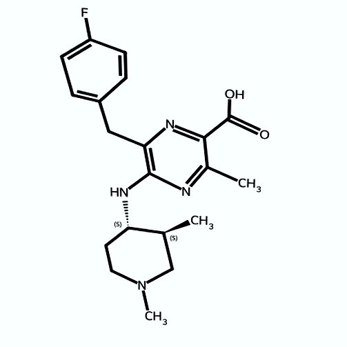 Cc1nc(N[C@H]2CCN(C)C[C@@H]2C)c(Cc2ccc(F)cc2)nc1C(=O)O